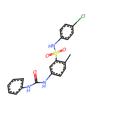 Cc1ccc(NC(=O)Nc2ccccc2)cc1S(=O)(=O)Nc1ccc(Cl)cc1